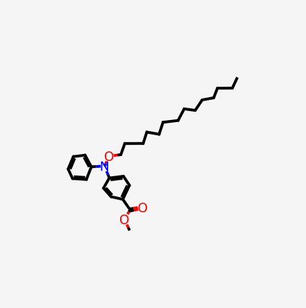 CCCCCCCCCCCCCCON(c1ccccc1)c1ccc(C(=O)OC)cc1